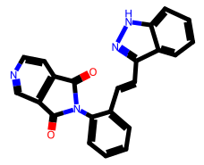 O=C1c2ccncc2C(=O)N1c1ccccc1C=Cc1n[nH]c2ccccc12